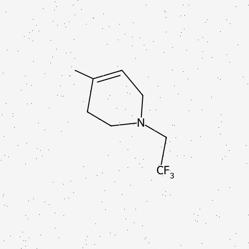 CC1=CCN(CC(F)(F)F)CC1